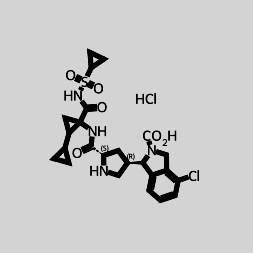 Cl.O=C(NC1(C(=O)NS(=O)(=O)C2CC2)CC1C1CC1)[C@@H]1C[C@@H](C2c3cccc(Cl)c3CN2C(=O)O)CN1